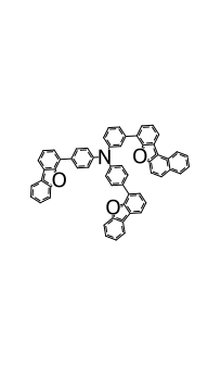 c1cc(-c2cccc3c2oc2ccc4ccccc4c23)cc(N(c2ccc(-c3cccc4c3oc3ccccc34)cc2)c2ccc(-c3cccc4c3oc3ccccc34)cc2)c1